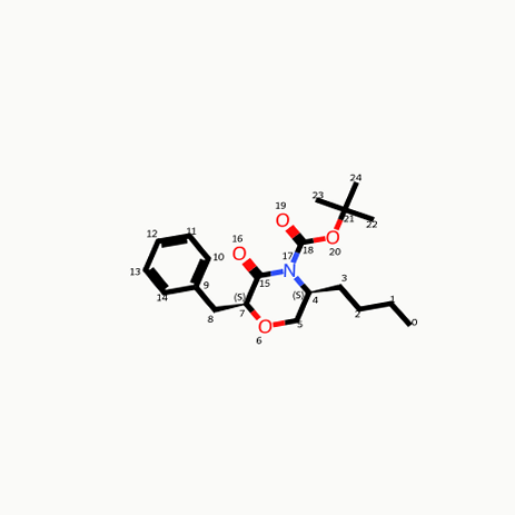 CCCC[C@H]1CO[C@@H](Cc2ccccc2)C(=O)N1C(=O)OC(C)(C)C